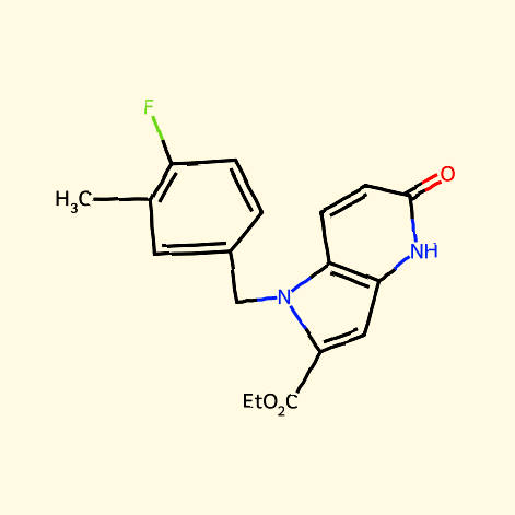 CCOC(=O)c1cc2[nH]c(=O)ccc2n1Cc1ccc(F)c(C)c1